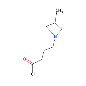 CC(=O)CCCN1CC(C)C1